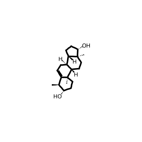 C[C@H]1C2=CC[C@H]3[C@@H]4CC[C@H](O)[C@@]4(C)CC[C@@H]3[C@@]2(C)CC[C@@H]1O